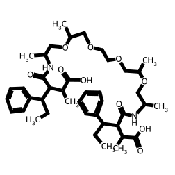 CCC(c1ccccc1)C(C(=O)NC(C)COC(C)COCCOCC(C)OCC(C)NC(=O)C(C(C)C(=O)O)C(CC)c1ccccc1)C(C)C(=O)O